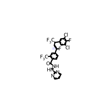 O=C(NNc1ncccn1)c1ccc(/C(F)=C/C(c2cc(Cl)c(F)c(Cl)c2)C(F)(F)F)cc1C(F)(F)F